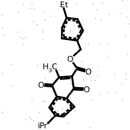 CCc1ccc(COC(=O)C2=C(C)C(=O)c3cc(C(C)C)ccc3C2=O)cc1